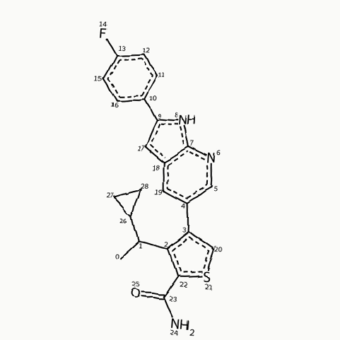 CC(c1c(-c2cnc3[nH]c(-c4ccc(F)cc4)cc3c2)csc1C(N)=O)C1CC1